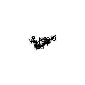 CCCC(=O)SCCOP(=O)(Oc1cccc(C#N)c1)C(F)(F)c1ccc2sc(C(=O)N[C@H]3CCCC[C@H]4CC[C@@H](C(=O)N5C[C@@H](C#N)[C@H](c6ccccc6)C5)N4C3=O)cc2c1